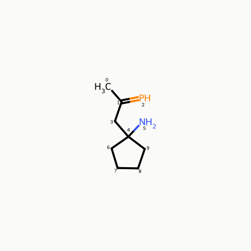 CC(=P)CC1(N)CCCC1